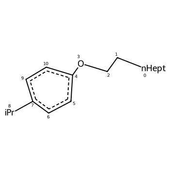 CCCCCCCCCOc1ccc(C(C)C)cc1